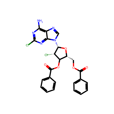 Nc1nc(Cl)nc2c1ncn2[C@@H]1O[C@H](COC(=O)c2ccccc2)C(OC(=O)c2ccccc2)[C@@H]1Cl